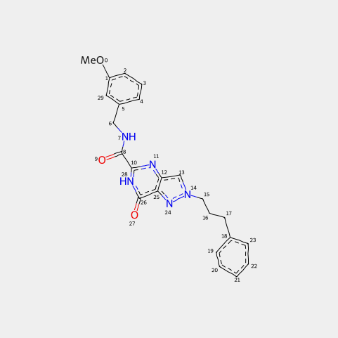 COc1cccc(CNC(=O)c2nc3cn(CCCc4ccccc4)nc3c(=O)[nH]2)c1